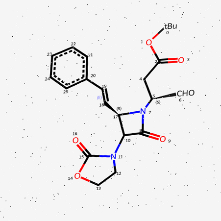 CC(C)(C)OC(=O)C[C@@H](C=O)N1C(=O)C(N2CCOC2=O)[C@H]1/C=C/c1ccccc1